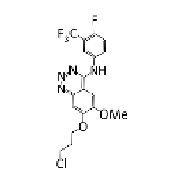 COc1cc2c(Nc3ccc(F)c(C(F)(F)F)c3)nnnc2cc1OCCCCl